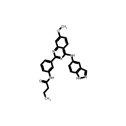 CCCC(=O)Nc1cccc(-c2nc(Nc3ccc4[nH]ncc4c3)c3ccc(OC)cc3n2)c1